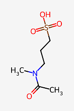 CC(=O)N(C)CCCS(=O)(=O)O